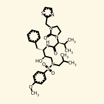 COc1ccc(S(=O)(=O)N(CC(C)C)C[C@@H](O)[C@H](Cc2ccccc2)NC(=O)[C@H](C(C)C)N2CCN(Cc3nccs3)C2=O)cc1